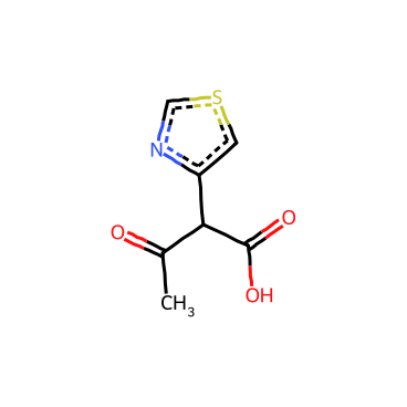 CC(=O)C(C(=O)O)c1cscn1